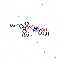 COc1ccc(C(OCC2CCC(C(=O)N[C@H](CO)C(=O)O)CC2)(c2ccccc2)c2ccc(OC)cc2)cc1